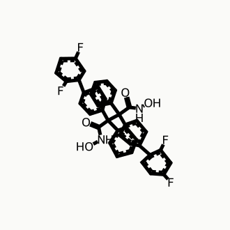 O=C(NO)C(c1ccccc1)(c1ccc(-c2ccc(F)cc2F)cc1)C(C(=O)NO)(c1ccccc1)c1ccc(-c2cc(F)ccc2F)cc1